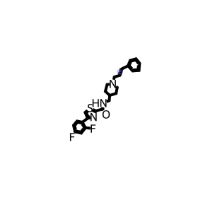 O=C(NCC1CCN(C/C=C/c2ccccc2)CC1)c1nc(-c2ccc(F)cc2F)cs1